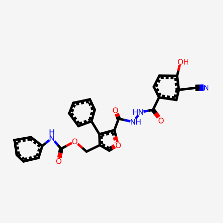 N#Cc1cc(C(=O)NNC(=O)c2occ(COC(=O)Nc3ccccc3)c2-c2ccccc2)ccc1O